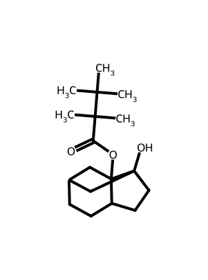 CC(C)(C)C(C)(C)C(=O)OC12CC3CCC1CCC2(O)C3